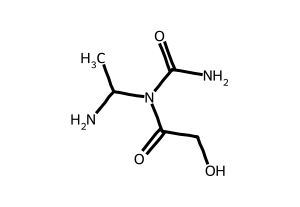 CC(N)N(C(N)=O)C(=O)CO